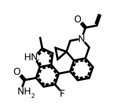 C=CC(=O)N1Cc2cccc(-c3c(F)cc(C(N)=O)c4[nH]c(C)cc34)c2C2(CC2)C1